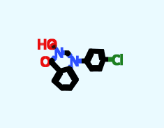 O=C1c2ccccc2N(c2ccc(Cl)cc2)CN1O